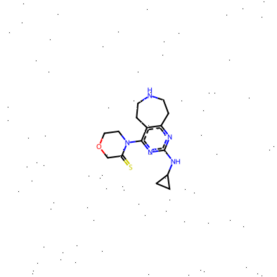 S=C1COCCN1c1nc(NC2CC2)nc2c1CCNCC2